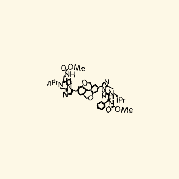 CCCN(Cc1ncc(-c2cc3c4c(c2)OCc2cc(-c5cnc(CN(CC(C)C)C(=O)[C@H](NC(=O)OC)c6ccccc6)[nH]5)cc(c2-4)OC3)[nH]1)C(=O)CNC(=O)OC